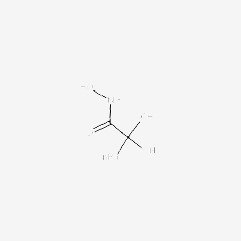 CCCCC(C)(C)C(=O)NO